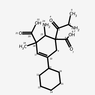 CC(N)C(=O)C1(C(=O)O)CC(C2CCCCC2)=CC(C)(C(=O)O)C1N